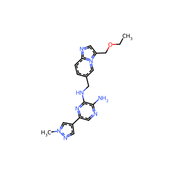 CCOCc1cnc2ccc(CNc3nc(-c4cnn(C)c4)cnc3N)cn12